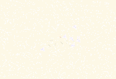 CO/C(C)=N\C(C)c1ccc(-c2cc3cnc(NC4CCOCC4)nc3n(CC3CCCN(C)C3)c2=O)c(Cl)c1